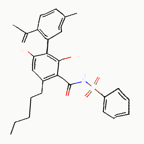 C=C(C)c1ccc(C)cc1-c1c(O)cc(CCCCC)c(C(=O)NS(=O)(=O)c2ccccc2)c1O